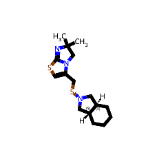 CC1(C)CN2C(CSN3C[C@H]4CCCC[C@@H]4C3)=CSC2=N1